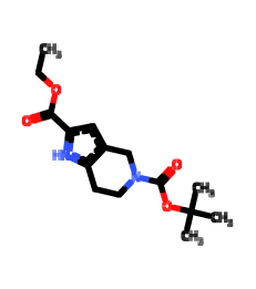 CCOC(=O)c1cc2c([nH]1)CCN(C(=O)OC(C)(C)C)C2